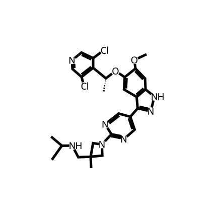 COc1cc2[nH]nc(-c3cnc(N4CC(C)(CNC(C)C)C4)nc3)c2cc1O[C@H](C)c1c(Cl)cncc1Cl